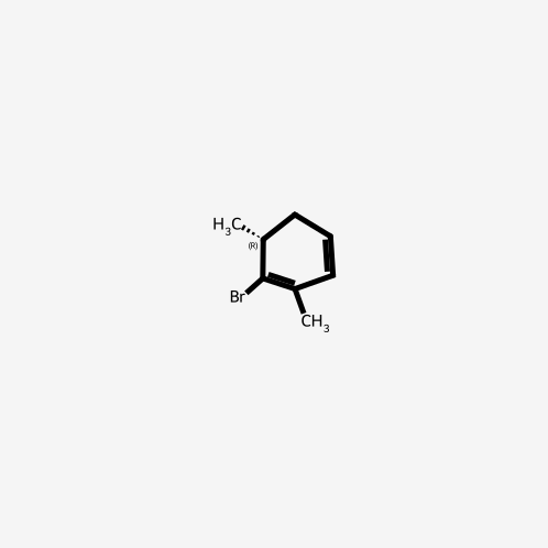 CC1=C(Br)[C@H](C)CC=C1